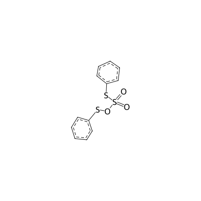 O=S(=O)(OSc1ccccc1)Sc1ccccc1